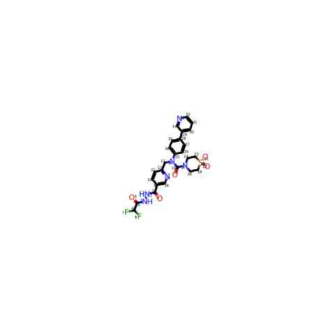 O=C(NNC(=O)C(F)F)c1ccc(CN(C(=O)N2CCS(=O)(=O)CC2)c2ccc(-c3cccnc3)cc2)nc1